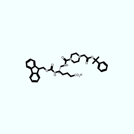 CC(C)(OC(=O)CN1CCN(C(=O)NC[C@H](CCCC(=O)O)NC(=O)OCC2c3ccccc3-c3ccccc32)CC1)c1ccccc1